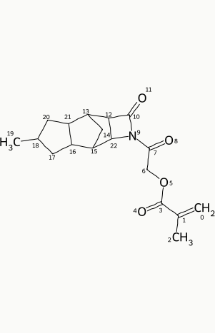 C=C(C)C(=O)OCC(=O)N1C(=O)C2C3CC(C4CC(C)CC43)C21